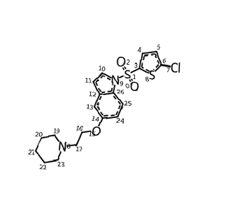 O=S(=O)(c1ccc(Cl)s1)n1ccc2cc(OCCN3CCCCC3)ccc21